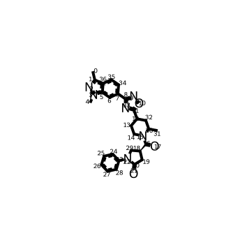 Cc1nn(C)c2cc(-c3noc(C4CCN(C(=O)[C@H]5CC(=O)N(c6ccccc6)C5)C(C)C4)n3)ccc12